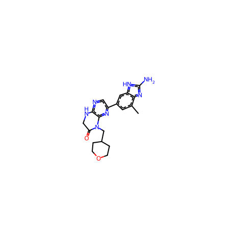 Cc1cc(-c2cnc3c(n2)N(CC2CCOCC2)C(=O)CN3)cc2[nH]c(N)nc12